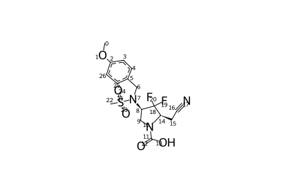 COc1ccc(CN([C@@H]2CN(C(=O)O)[C@H](CC#N)C2(F)F)S(C)(=O)=O)cc1